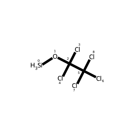 [SiH3]OC(Cl)(Cl)C(Cl)(Cl)Cl